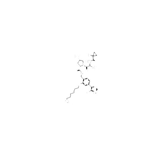 Cc1ncsc1-c1ccc(CNC(=O)[C@@H]2C[C@@H](O)CN2C(=O)C(NC(=O)C2(F)CC2)C(C)(C)C)c(OCCCCCCN)c1